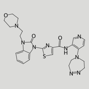 O=C(Nc1cnccc1N1CCN=NCC1)c1csc(-n2c(=O)n(CCN3CCOCC3)c3ccccc32)n1